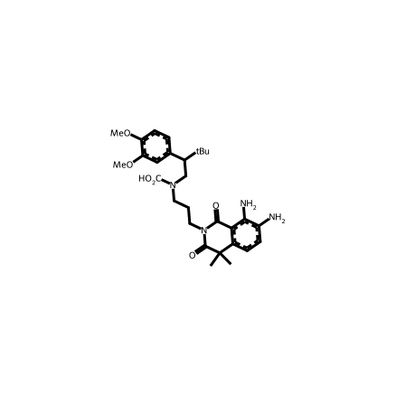 COc1ccc(C(CN(CCCN2C(=O)c3c(ccc(N)c3N)C(C)(C)C2=O)C(=O)O)C(C)(C)C)cc1OC